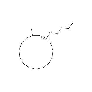 CCCCOC1=CC(C)CCCCCCCCCCCC1